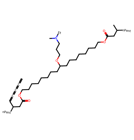 C=C=C=C=CC(CCCCC)CC(=O)OCCCCCCCCC(CCCCCCCCOC(=O)CC(C)CCCCC)OCCCN(C)CC